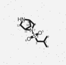 CC(C)CS(=O)(=O)N1CC2CC1CN2